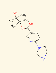 CC(C)(O)C(C)(C)OB(O)c1ccc(N2CCNCC2)nc1